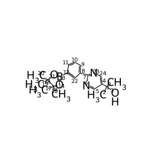 CC(C)(O)c1cnc(-c2cccc(B3OC(C)(C)C(C)(C)O3)c2)nc1